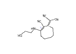 N#CC(C#N)=C1CCCCC/C(NCCO)=C\1C#N